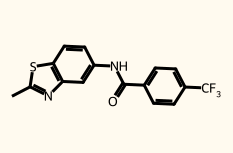 Cc1nc2cc(NC(=O)c3ccc(C(F)(F)F)cc3)ccc2s1